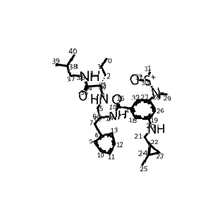 CCC[C@H](NC[C@H](Cc1ccccc1)NC(=O)c1cc(NCC2CC2C)cc(N(C)[S+](C)[O-])c1)C(=O)NCC(C)C